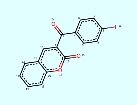 O=C(c1ccc(I)cc1)c1cc2ccccc2oc1=O